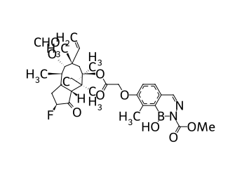 C=C[C@]1(C)C[C@@H](OC(=O)COc2ccc3c(c2C)B(O)N(C(=O)OC)N=C3)[C@]2(C)[C@H](C)CC[C@]3(C[C@H](F)C(=O)[C@H]32)[C@@H](C)[C@@H]1OC=O